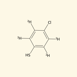 [2H]c1c([2H])c(Cl)c([2H])c([2H])c1S